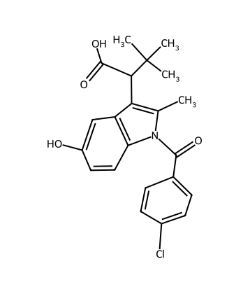 Cc1c(C(C(=O)O)C(C)(C)C)c2cc(O)ccc2n1C(=O)c1ccc(Cl)cc1